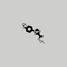 COC(=O)c1ncn(-c2ccc(OC)cc2)n1